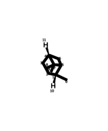 C[C@@H]1CC[C@@H]2CC1C2(C)C